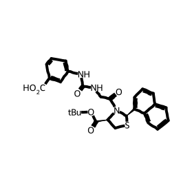 CC(C)(C)OC(=O)[C@@H]1CS[C@H](c2cccc3ccccc23)N1C(=O)CNC(=O)Nc1cccc(C(=O)O)c1